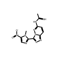 CC(=N)Nc1ccc2nnc(-c3ncc([N+](=O)[O-])n3C)n2n1